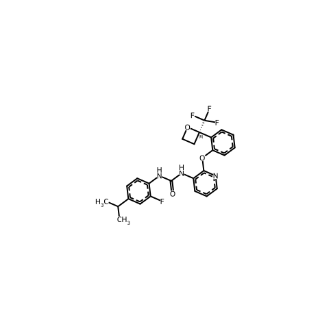 CC(C)c1ccc(NC(=O)Nc2cccnc2Oc2ccccc2[C@@]2(C(F)(F)F)CCO2)c(F)c1